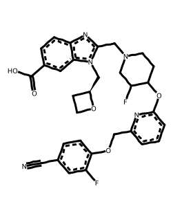 N#Cc1ccc(OCc2cccc(OC3CCN(Cc4nc5ccc(C(=O)O)cc5n4C[C@@H]4CCO4)CC3F)n2)c(F)c1